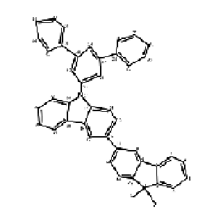 CC1(C)c2ccccc2-c2cc(-c3ccc4c(c3)c3ccccc3n4-c3cc(-c4ccccc4)cc(-c4ccccc4)c3)ccc21